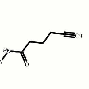 C#CCCCC(=O)NN